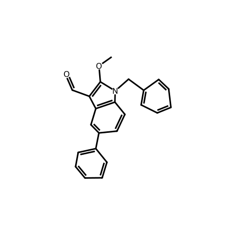 COc1c(C=O)c2cc(-c3ccccc3)ccc2n1Cc1ccccc1